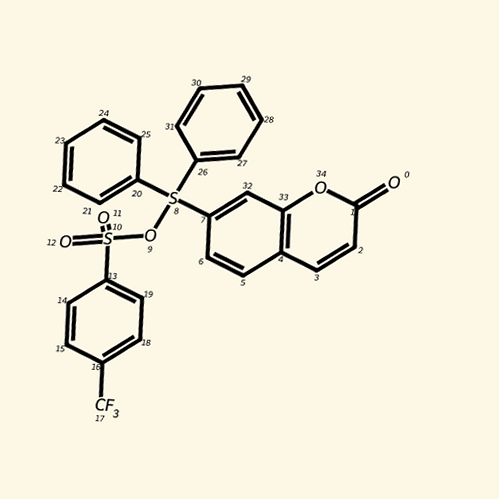 O=c1ccc2ccc(S(OS(=O)(=O)c3ccc(C(F)(F)F)cc3)(c3ccccc3)c3ccccc3)cc2o1